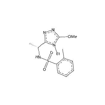 CCn1c(OC)nnc1[C@@H](C)NS(=O)(=O)c1ccccc1C